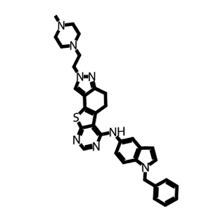 CN1CCN(CCn2cc3c(n2)CCc2c-3sc3ncnc(Nc4ccc5c(ccn5Cc5ccccc5)c4)c23)CC1